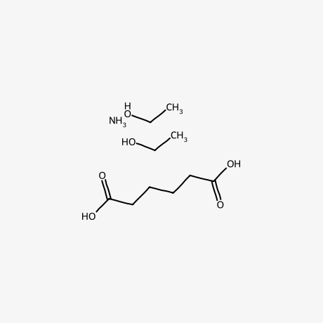 CCO.CCO.N.O=C(O)CCCCC(=O)O